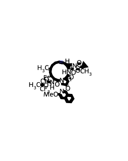 CC[C@@H]1C[C@H](C)CC/C=C\[C@@H]2C[C@@]2(C(=O)NS(=O)(=O)C2(C)CC2)NC(=O)[C@@H]2C[C@@H](Oc3nc(OC)cc4ccccc34)CN2C(=O)[C@H]1NC(=O)OC(C)(C)C(F)(F)F